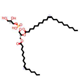 CCCCC/C=C\CCCCCCCC(=O)OC[C@H](COP(=O)(O)OC[C@@H](O)CO)OC(=O)CCCCCCCCC/C=C\CCCCCCCCCC